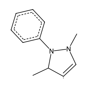 CC1[C]=CN(C)N1c1ccccc1